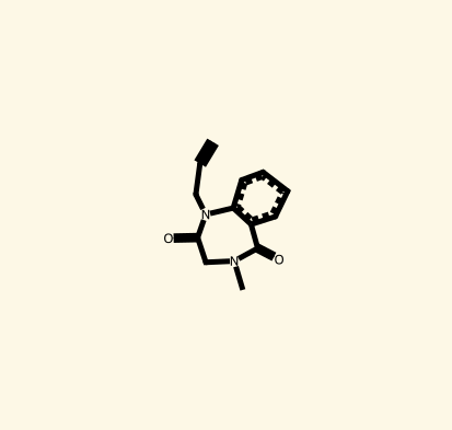 C#CCN1C(=O)CN(C)C(=O)c2ccccc21